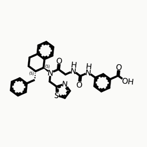 O=C(NCC(=O)N(Cc1nccs1)[C@@H]1c2ccccc2CC[C@H]1Cc1ccccc1)Nc1cccc(C(=O)O)c1